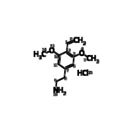 C=Cc1c(OC)cc(CCN)cc1OC.Cl